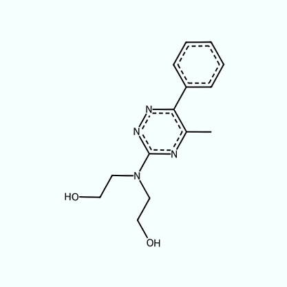 Cc1nc(N(CCO)CCO)nnc1-c1ccccc1